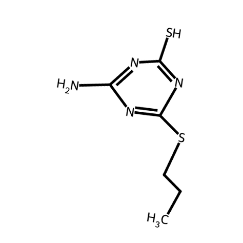 CCCSc1nc(N)nc(S)n1